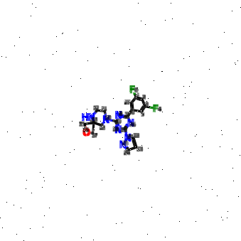 Fc1cc(F)cc(-c2nc(N3CCNC4(COC4)C3)nc(-n3cccn3)n2)c1